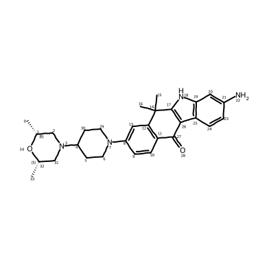 C[C@@H]1CN(C2CCN(c3ccc4c(c3)C(C)(C)c3[nH]c5cc(N)ccc5c3C4=O)CC2)C[C@H](C)O1